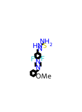 COc1ccccc1CN1CCN(c2c(F)cc(C=NNC(N)=S)cc2F)CC1